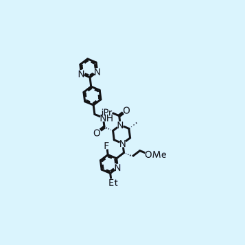 CCc1ccc(F)c([C@@H](CCOC)N2C[C@@H](C)N(C(=O)C(C)C)[C@@H](C(=O)NCc3ccc(-c4ncccn4)cc3)C2)n1